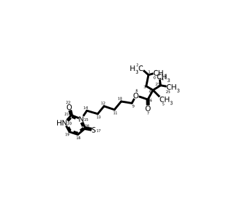 CC(C)CC(C)(C(=O)OCCCCCCn1c(=S)cc[nH]c1=O)C(C)C